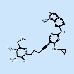 C[C@@H](C(=O)NCCCC#Cc1cnc(Nc2ccc3cnn(C)c3c2)nc1NC1CC1)N(C)C(=O)OC(C)(C)C